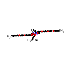 CCCCCCCCCCCCCCCCCCCCCCCc1ccc(/N=C(CCCC)/C(CCCCCCCC)=N/c2ccc(CCCCCCCCCCCCCCCCCCCCCCC)cc2)cc1.[Ni]